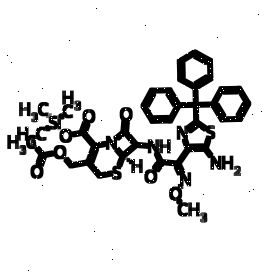 CO/N=C(\C(=O)NC1C(=O)N2C(C(=O)O[Si](C)(C)C)=C(COC(C)=O)CS[C@H]12)c1nc(C(c2ccccc2)(c2ccccc2)c2ccccc2)sc1N